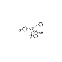 CC(C=Cc1ccc(Cl)cc1)NOCc1[c]cccc1.O[CH]c1cccc(C(F)(F)F)n1